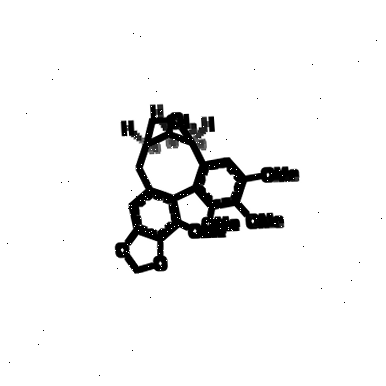 COc1cc2c(c(OC)c1OC)-c1c(cc3c(c1OC)OCO3)C[C@H]1CO[C@@H]2[C@@H]1C